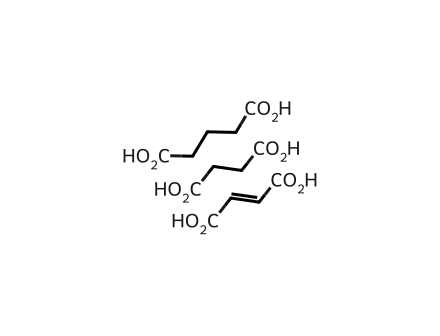 O=C(O)C=CC(=O)O.O=C(O)CCC(=O)O.O=C(O)CCCC(=O)O